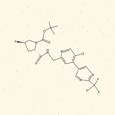 CC(C)(C)OC(=O)N1C[C@H](F)C[C@H]1C(=O)NCc1cc(-c2cnc(C(F)(F)F)nc2)c(Cl)cn1